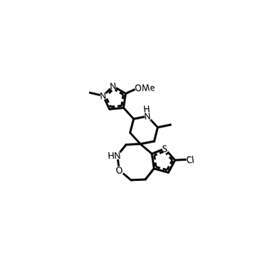 COc1nn(C)cc1C1CC2(CNOCCc3cc(Cl)sc32)CC(C)N1